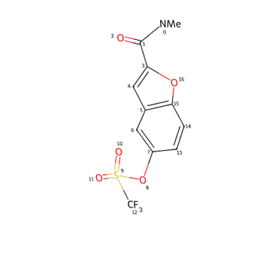 CNC(=O)c1cc2cc(OS(=O)(=O)C(F)(F)F)ccc2o1